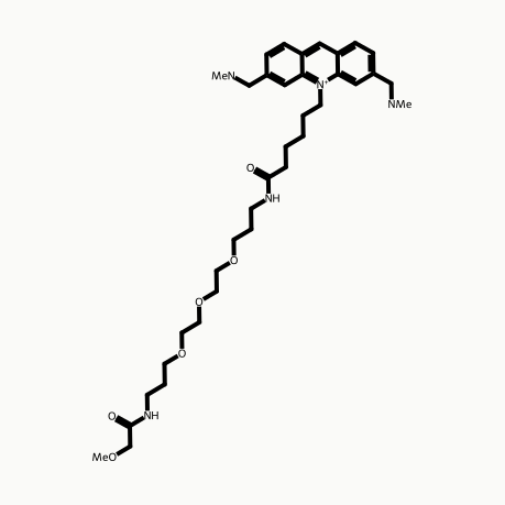 CNCc1ccc2cc3ccc(CNC)cc3[n+](CCCCCC(=O)NCCCOCCOCCOCCCNC(=O)COC)c2c1